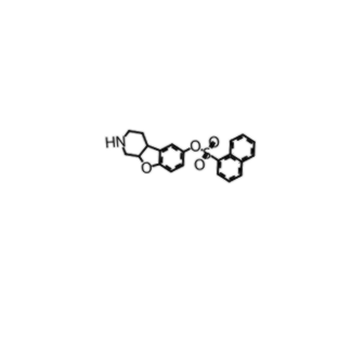 O=S(=O)(Oc1ccc2c(c1)C1CCNCC1O2)c1cccc2ccccc12